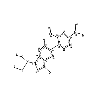 CCC(CC)n1nc(C)c2nc(-c3cnc(N(C)C)cc3OC)c(C)nc21